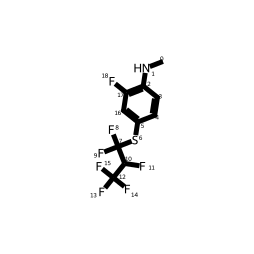 CNc1ccc(SC(F)(F)C(F)C(F)(F)F)cc1F